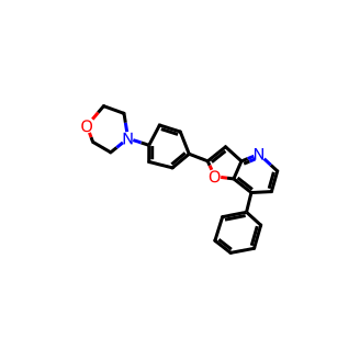 c1ccc(-c2ccnc3cc(-c4ccc(N5CCOCC5)cc4)oc23)cc1